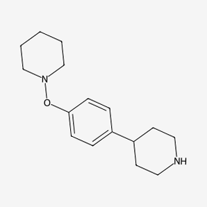 c1cc(C2CCNCC2)ccc1ON1CCCCC1